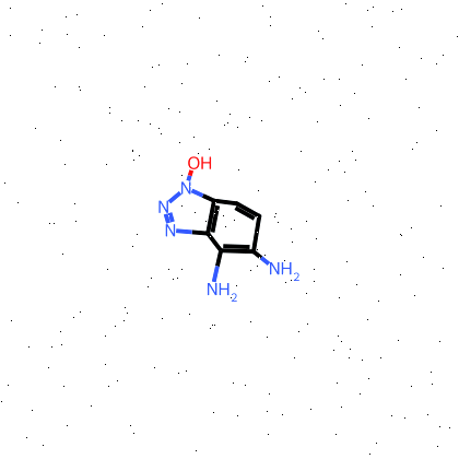 Nc1ccc2c(nnn2O)c1N